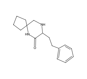 O=C1NC2(CCCC2)CNC1CCc1ccccc1